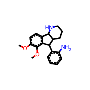 COc1ccc2c(c1OC)C(c1ccccc1N)C1CCCNC21